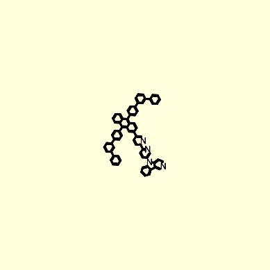 c1ccc(-c2cccc(-c3ccc(-c4c5ccccc5c(-c5ccc(-c6cccc(-c7ccccc7)c6)cc5)c5cc(-c6ccc(-c7ccc(-n8c9ccccc9c9cnccc98)cn7)nc6)ccc45)cc3)c2)cc1